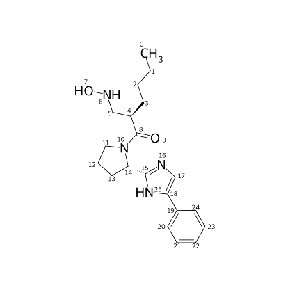 CCCC[C@H](CNO)C(=O)N1CCC[C@H]1c1ncc(-c2ccccc2)[nH]1